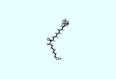 CN(CCCCCCO)C(=O)CCCCCCC/C=C/S(F)(F)(F)(F)F